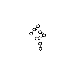 C[C@H]1C(c2cccc3oc4cc(-n5c6ccccc6c6ccc(-c7ccccc7)cc65)ccc4c23)=NC(c2ccc(-c3ccccc3)cc2)=C2C=CC=CC21